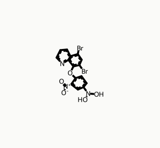 O=[N+]([O-])c1cc(N(O)O)ccc1Oc1c(Br)cc(Br)c2cccnc12